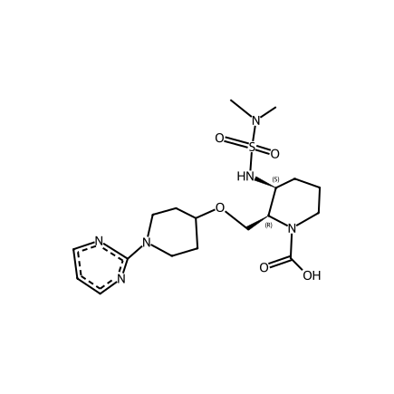 CN(C)S(=O)(=O)N[C@H]1CCCN(C(=O)O)[C@H]1COC1CCN(c2ncccn2)CC1